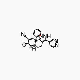 C[C@@H]1C(=O)C(C#N)=C[C@]2(c3ccccc3)c3n[nH]c(-c4ccnnc4)c3CC[C@@H]12